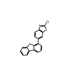 Clc1nc2ccc(-c3cccc4c3sc3ccccc34)cc2s1